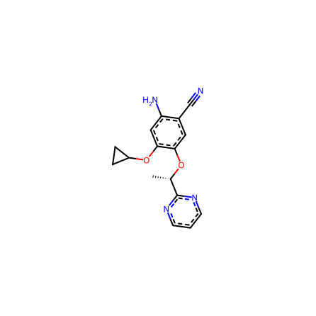 C[C@H](Oc1cc(C#N)c(N)cc1OC1CC1)c1ncccn1